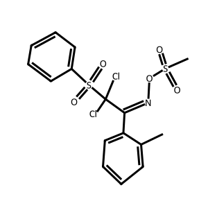 Cc1ccccc1C(=NOS(C)(=O)=O)C(Cl)(Cl)S(=O)(=O)c1ccccc1